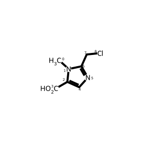 Cn1c(C(=O)O)cnc1CCl